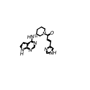 O=C(C=Cc1c[nH]cn1)N1CCC[C@@H](Nc2ncnc3[nH]ccc23)C1